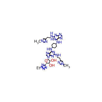 CCn1nnc([C@H]2O[C@@H](n3cnc4c(NC5CCC(Nc6[nH]c(NCCc7cn(C)cn7)nc7ncnc6-7)CC5)nc(NCCc5cn(C)cn5)nc43)[C@H](O)[C@@H]2O)n1